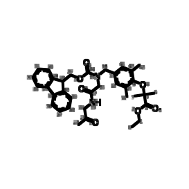 CCOC(=O)C(C)(C)Oc1c(C)cc(CN(CC(=O)NCC(C)=O)C(=O)OCC2c3ccccc3-c3ccccc32)cc1C